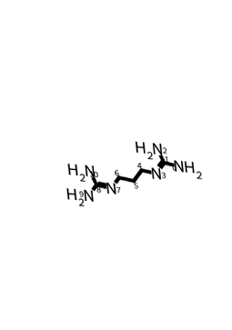 NC(N)=NCCCN=C(N)N